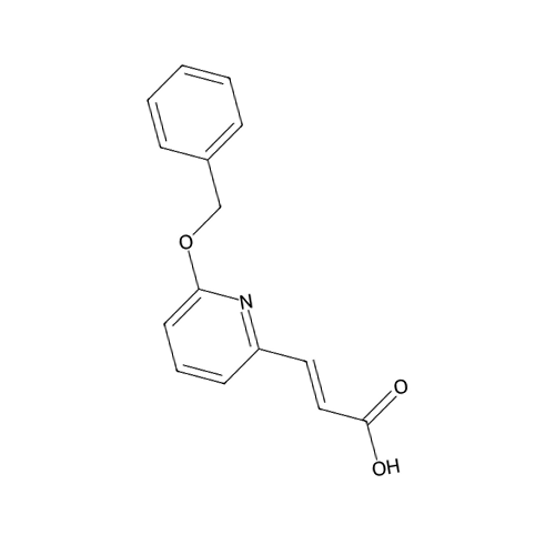 O=C(O)C=Cc1cccc(OCc2ccccc2)n1